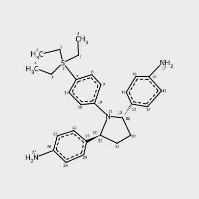 CCS(CC)(CC)c1ccc(N2[C@H](c3ccc(N)cc3)CC[C@H]2c2ccc(N)cc2)cc1